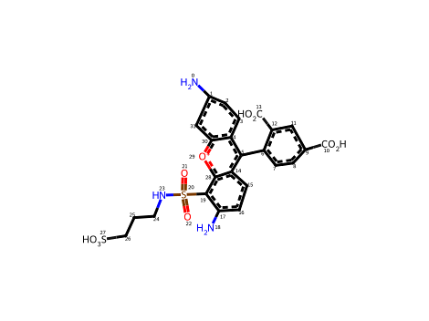 Nc1ccc2c(-c3ccc(C(=O)O)cc3C(=O)O)c3ccc(N)c(S(=O)(=O)NCCCS(=O)(=O)O)c3[o+]c2c1